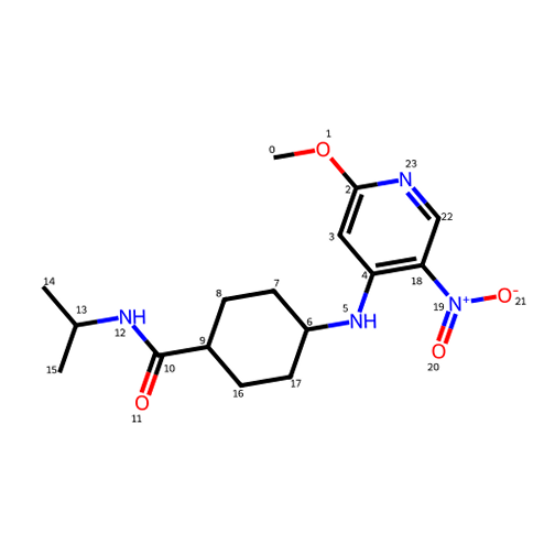 COc1cc(NC2CCC(C(=O)NC(C)C)CC2)c([N+](=O)[O-])cn1